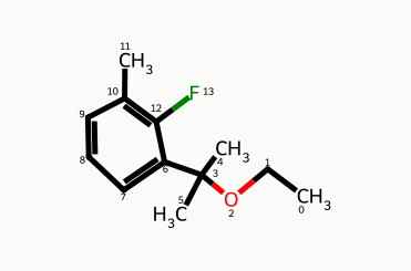 CCOC(C)(C)c1cccc(C)c1F